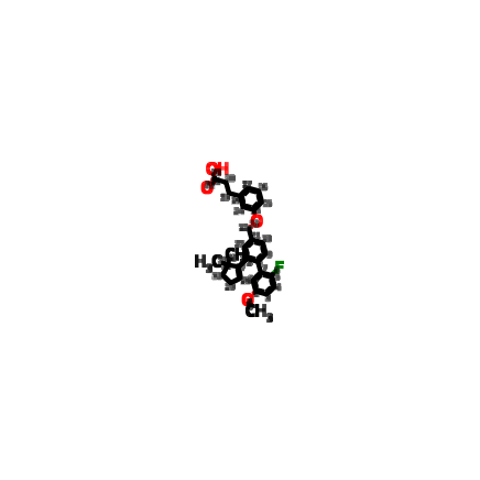 COc1ccc(F)c(-c2ccc(COc3cccc(CCC(=O)O)c3)cc2C2=CCCC2(C)C)c1